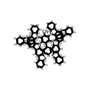 N#Cc1c(-n2c3ccccc3c3ccccc32)c(-n2c3cc4sc5ccccc5c4cc3c3cc4c(cc32)sc2ccccc24)c(-c2ccccc2)c(-n2c3cc4sc5ccccc5c4cc3c3cc4c(cc32)sc2ccccc24)c1-n1c2ccccc2c2ccccc21